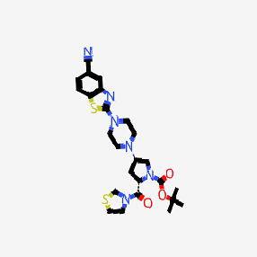 CC(C)(C)OC(=O)N1C[C@@H](N2CCN(c3nc4cc(C#N)ccc4s3)CC2)C[C@H]1C(=O)N1CCSC1